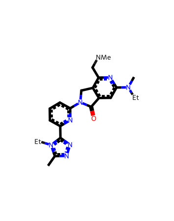 CCN(C)c1cc2c(c(CNC)n1)CN(c1cccc(-c3nnc(C)n3CC)n1)C2=O